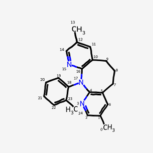 Cc1cnc2c(c1)CCCc1cc(C)cnc1N2c1ccccc1C